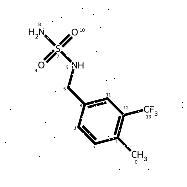 Cc1ccc(CNS(N)(=O)=O)cc1C(F)(F)F